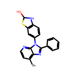 CC(C)c1ccnc2c1nc(-c1ccccc1)n2-c1ccc2c(c1)SC(O)N2